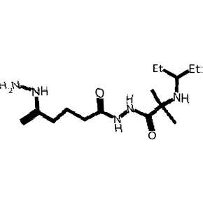 C=C(CCCC(=O)NNC(=O)C(C)(C)NC(CC)CC)NN